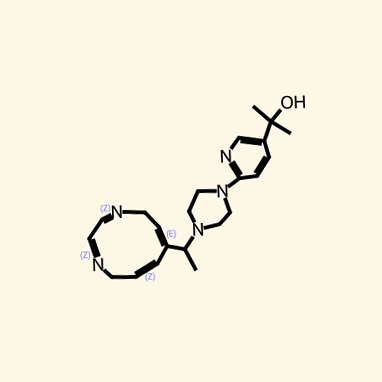 CC(C1=C/C/N=C\C=N/C/C=C\1)N1CCN(c2ccc(C(C)(C)O)cn2)CC1